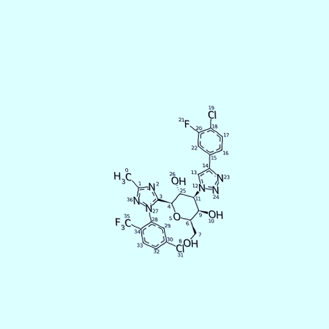 Cc1nc([C@@H]2O[C@H](CO)[C@H](O)[C@H](n3cc(-c4ccc(Cl)c(F)c4)nn3)[C@H]2O)n(-c2cc(Cl)ccc2C(F)(F)F)n1